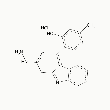 Cc1ccc(C=[N+]2C(CC(=O)NN)=Nc3ccccc32)c(O)c1.Cl